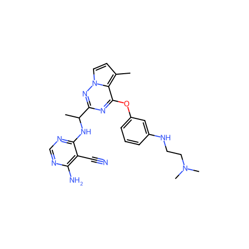 Cc1ccn2nc(C(C)Nc3ncnc(N)c3C#N)nc(Oc3cccc(NCCN(C)C)c3)c12